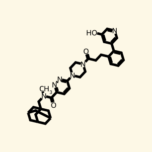 CN(CC12CC3CC(CC(C3)C1)C2)C(=O)c1ccc(N2CCN(C(=O)CCc3ccccc3-c3cncc(O)c3)CC2)nn1